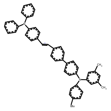 Cc1cc(C)cc(N(c2ccc(-c3ccc(/C=C/c4ccc(N(c5ccccc5)c5ccccc5)cc4)cc3)cc2)c2ccc(C(C)(C)C)cc2)c1